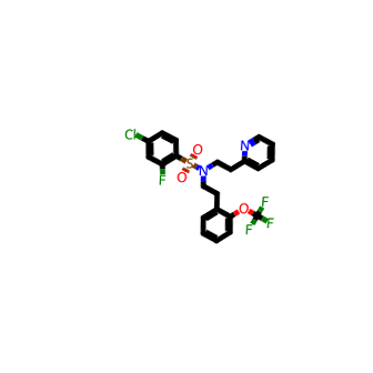 O=S(=O)(c1ccc(Cl)cc1F)N(CCc1ccccn1)CCc1ccccc1OC(F)(F)F